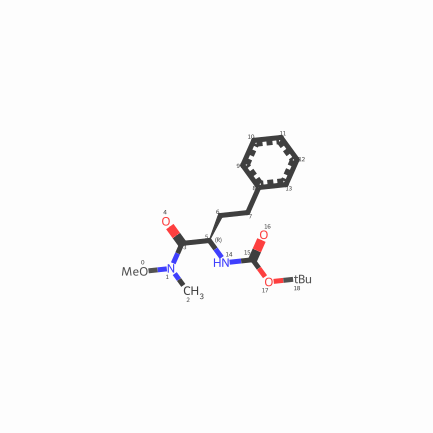 CON(C)C(=O)[C@@H](CCc1ccccc1)NC(=O)OC(C)(C)C